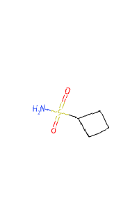 NS(=O)(=O)[C]1CCC1